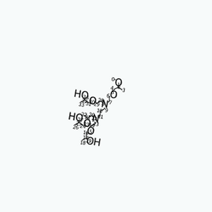 COC(C)COCCN(CCCN(CCOCC(C)O)CC(C)OCC(C)O)CCOCC(C)O